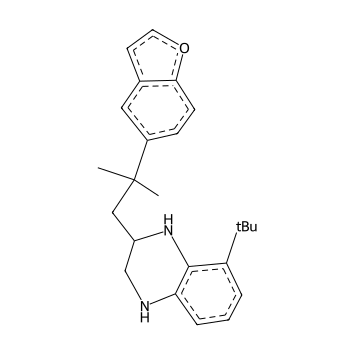 CC(C)(C)c1cccc2c1NC(CC(C)(C)c1ccc3occc3c1)CN2